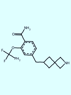 NC(=O)c1ccc(CC2CC3(CNC3)C2)cc1OC(F)(F)P